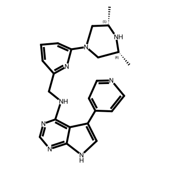 C[C@@H]1CN(c2cccc(CNc3ncnc4[nH]cc(-c5ccncc5)c34)n2)C[C@H](C)N1